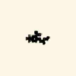 CCO/C(C)=N\Oc1ccc(C(F)(F)F)cc1[N+](=O)[O-]